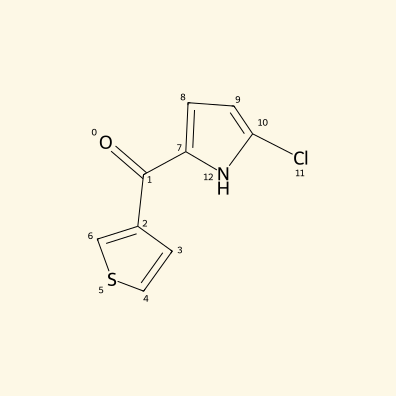 O=C(c1ccsc1)c1ccc(Cl)[nH]1